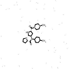 CC1CCC(N(C(=O)[C@@H]2CCCO2)[C@H]2CN[C@H](C(=O)N3CCN(C)CC3)C2)CC1